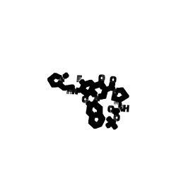 CN1CCCC1CCNc1c(F)cc2c(=O)c(C(=O)N3CC[C@@H](NC(=O)OC(C)(C)C)C3)cn3c2c1Oc1cc2ccccc2cc1-3